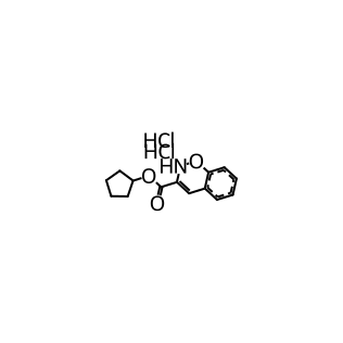 Cl.Cl.O=C(OC1CCCC1)C1=Cc2ccccc2ON1